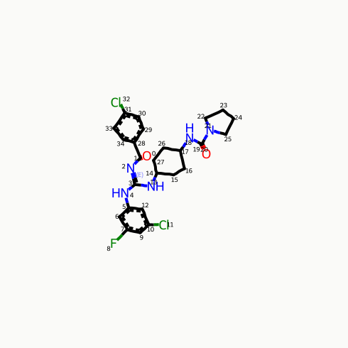 O=C(/N=C(/Nc1cc(F)cc(Cl)c1)NC1CCC(NC(=O)N2CCCC2)CC1)c1ccc(Cl)cc1